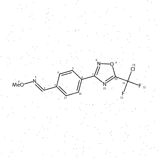 CON=Cc1ccc(-c2noc(C(F)(F)Cl)n2)cc1